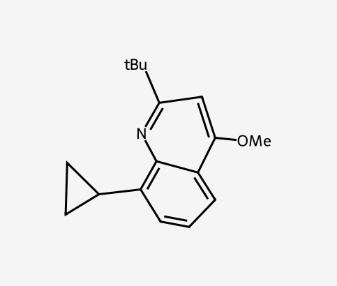 COc1cc(C(C)(C)C)nc2c(C3CC3)cccc12